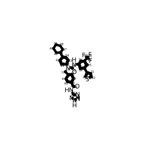 O=C(Nc1nn[nH]n1)c1ccc(CN(C(=O)Nc2cc(-c3ccsc3)cc(C(F)(F)F)c2)c2ccc(C3CCCCC3)cc2)cc1